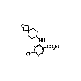 CCOC(=O)c1cnc(Cl)nc1NC1CCC2(CC1)COC2